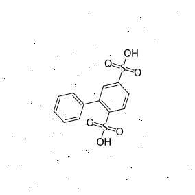 O=S(=O)(O)c1ccc(S(=O)(=O)O)c(-c2ccccc2)c1